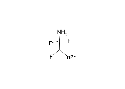 CCCC(F)C(N)(F)F